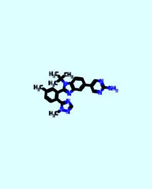 Cc1ccc(-c2ncnn2C)c(-c2nc3cc(-c4cnc(N)nc4)ccc3n2C(C)(C)C)c1